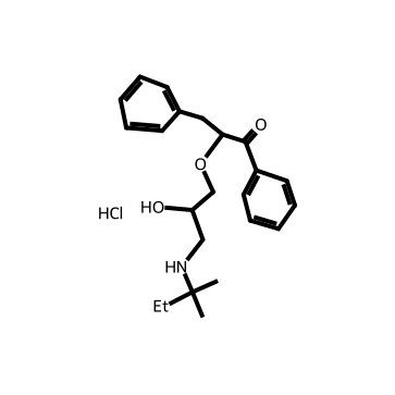 CCC(C)(C)NCC(O)COC(Cc1ccccc1)C(=O)c1ccccc1.Cl